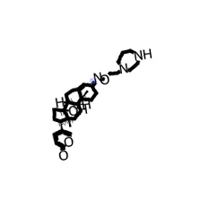 C[C@]12CC/C(=N\OCCN3CCCNCC3)C=C1CC[C@@H]1[C@@H]2CC[C@]2(C)[C@@H](c3ccc(=O)oc3)CC[C@]12O